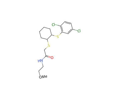 COCCNC(=O)CSC1CCCCC1Sc1cc(Cl)ccc1Cl